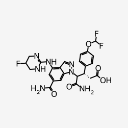 NC(=O)c1cc(NC2=NCC(F)CN2)c2cnn(C(C(N)=O)[C@@H](CC(=O)O)c3ccc(OC(F)F)cc3)c2c1